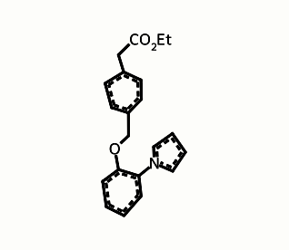 CCOC(=O)Cc1ccc(COc2ccccc2-n2cccc2)cc1